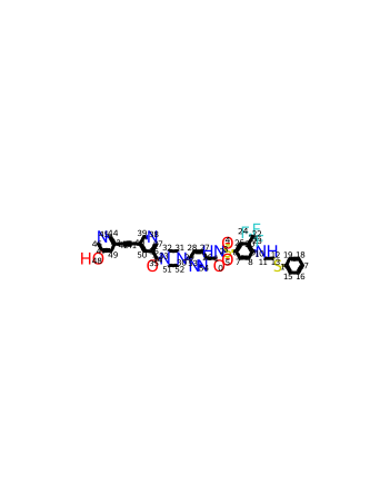 O=C(NS(=O)(=O)c1ccc(NCCSc2ccccc2)c(C(F)(F)F)c1)c1ccc(N2CCN(C(=O)c3cncc(C#Cc4cncc(O)c4)c3)CC2)nn1